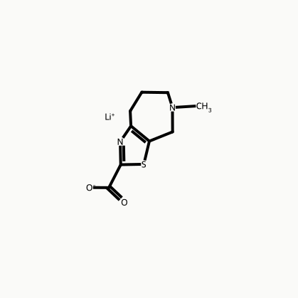 CN1CCCc2nc(C(=O)[O-])sc2C1.[Li+]